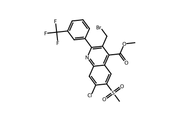 COC(=O)c1c(CBr)c(-c2cccc(C(F)(F)F)c2)nc2cc(Cl)c(S(C)(=O)=O)cc12